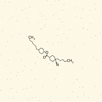 CCCCCCC1CCC(OC(=O)C2CCC(C#N)(CCCCC)CC2)CC1